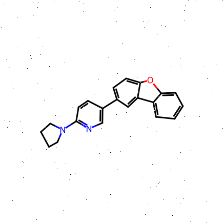 c1ccc2c(c1)oc1ccc(-c3ccc(N4CCCC4)nc3)cc12